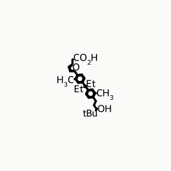 CCC(CC)(c1ccc(CCC(O)C(C)(C)C)c(C)c1)c1ccc(-c2ccc(CC(=O)O)o2)c(C)c1